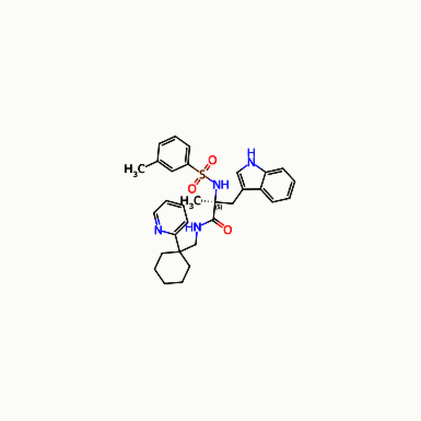 Cc1cccc(S(=O)(=O)N[C@@](C)(Cc2c[nH]c3ccccc23)C(=O)NCC2(c3ccccn3)CCCCC2)c1